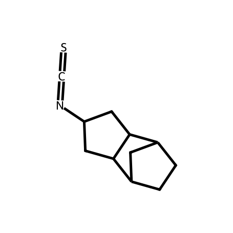 S=C=NC1CC2C3CCC(C3)C2C1